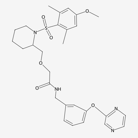 COc1cc(C)c(S(=O)(=O)N2CCCCC2COCC(=O)NCc2cccc(Oc3cnccn3)c2)c(C)c1